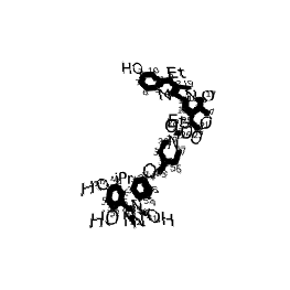 CCc1c2c(nc3ccc(O)cc13)-c1cc3c(c(=O)n1C2)COC(=O)[C@@]3(CC)OC(=O)N1CCC(COc2ccc(-n3c(O)nnc3-c3cc(C(C)C)c(O)cc3O)cc2)CC1